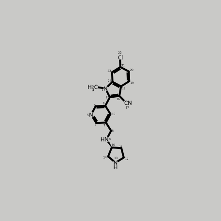 Cn1c(-c2cncc(CN[C@H]3CCNC3)c2)c(C#N)c2ccc(Cl)cc21